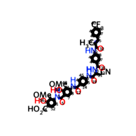 COc1c(NC(=O)c2ccc(NC(=O)c3ccc(NC(=O)C(CC#N)NC(=O)c4ccc(NC(=O)/C(C)=C/c5ccc(C(F)(F)F)cc5)cc4)cc3)c(OC)c2O)ccc(C(=O)O)c1O